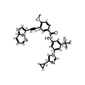 COc1ccc(C(=O)Nc2cc(-n3cnc(C4CC4)c3)cc(C(F)(F)F)c2)cc1C#Cc1cnc2cccnn12